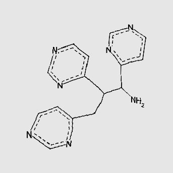 NC(c1ccncn1)C(Cc1ccncn1)c1ccncn1